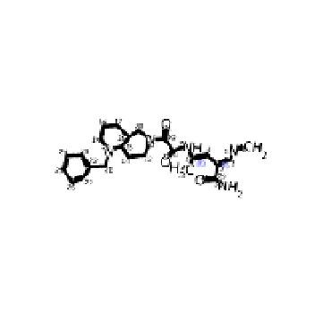 C=N/C=C(\C=C(/C)NC(=O)C(=O)N1CCC2C(CCCN2Cc2ccccc2)C1)C(N)=O